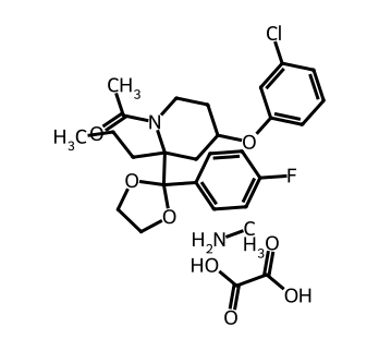 CCCC1(C2(c3ccc(F)cc3)OCCO2)CC(Oc2cccc(Cl)c2)CCN1C(C)=O.CN.O=C(O)C(=O)O